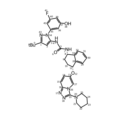 CC(C)(C)c1cc(NC(=O)N[C@H]2CC[C@@H](Oc3ccc4nnc(N5CCCCC5)n4c3)c3ccccc32)n(-c2cc(O)cc(F)c2)n1